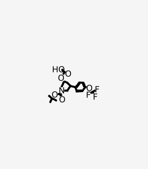 CC(C)(C)OC(=O)N1CC(OC(=O)O)CC(c2ccc(OC(F)(F)F)cc2)C1